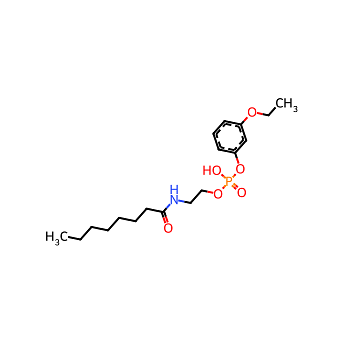 CCCCCCCC(=O)NCCOP(=O)(O)Oc1cccc(OCC)c1